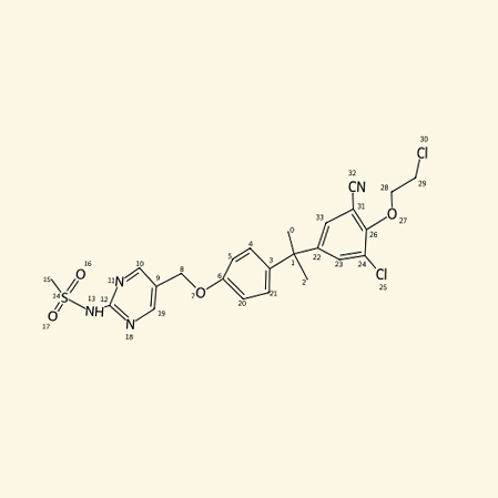 CC(C)(c1ccc(OCc2cnc(NS(C)(=O)=O)nc2)cc1)c1cc(Cl)c(OCCCl)c(C#N)c1